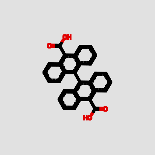 O=C(O)c1c2ccccc2c(-c2c3ccccc3c(C(=O)O)c3ccccc23)c2ccccc12